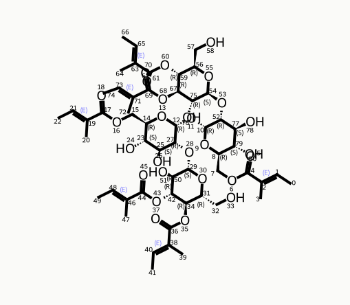 C/C=C(\C)C(=O)OC[C@H]1O[C@H](O[C@H]2O[C@H](COC(=O)/C(C)=C/C)[C@@H](O)[C@H](O)[C@H]2O[C@@H]2O[C@H](CO)[C@@H](OC(=O)/C(C)=C/C)[C@H](OC(=O)/C(C)=C/C)[C@H]2O)[C@H](O[C@@H]2O[C@H](CO)[C@@H](OC(=O)/C(C)=C/C)[C@H](OC(=O)/C(C)=C/C)[C@H]2O)[C@@H](O)[C@@H]1O